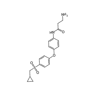 NCCC(=O)Nc1ccc(Oc2ccc(S(=O)(=O)CC3CC3)cc2)cc1